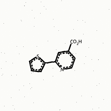 O=C(O)c1ccnc(-c2cccs2)c1